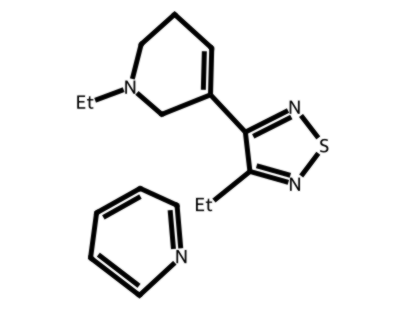 CCc1nsnc1C1=CCCN(CC)C1.c1ccncc1